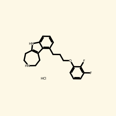 Cl.Fc1cccc(OCCCc2cccc3[nH]c4c(c23)CCNCC4)c1F